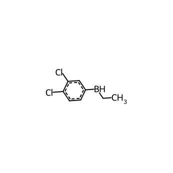 CCBc1ccc(Cl)c(Cl)c1